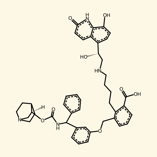 O=C(NC(c1ccccc1)c1cccc(OCc2cccc(C(=O)O)c2CCCCNC[C@H](O)c2ccc(O)c3[nH]c(=O)ccc23)c1)O[C@H]1CN2CCC1CC2